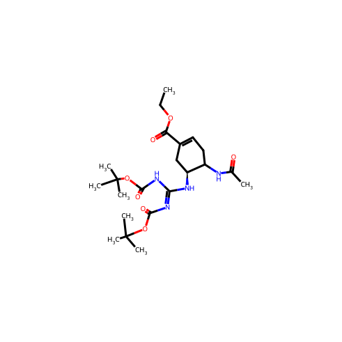 CCOC(=O)C1=CCC(NC(C)=O)[C@@H](N/C(=N/C(=O)OC(C)(C)C)NC(=O)OC(C)(C)C)C1